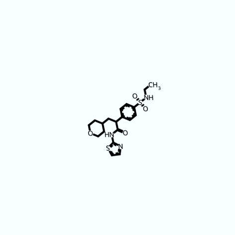 CCNS(=O)(=O)c1ccc(C(CC2CCOCC2)C(=O)Nc2nccs2)cc1